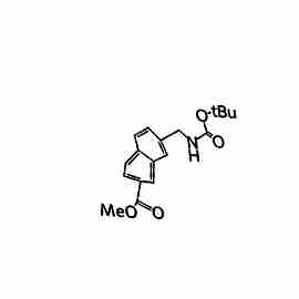 COC(=O)c1ccc2ccc(CNC(=O)OC(C)(C)C)cc2c1